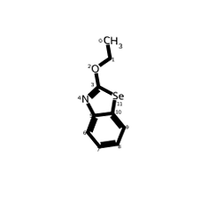 CCOc1nc2ccccc2[se]1